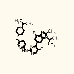 Cc1nc2c(F)cc(-c3nc(Nc4ccc(OC5CCN(C(C)C)CC5)cn4)ncc3F)cc2n1C(C)C